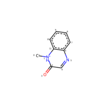 [CH2-][NH+]1C(=O)C=Nc2ccccc21